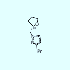 CC(C)c1ccn(C[C@@H]2CCCO2)n1